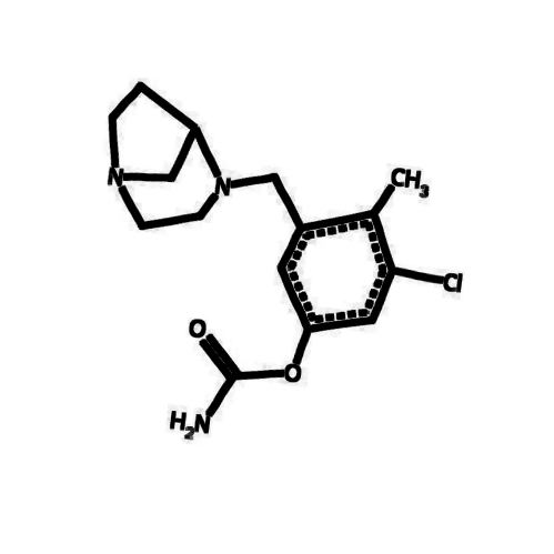 Cc1c(Cl)cc(OC(N)=O)cc1CN1CCN2CCC1C2